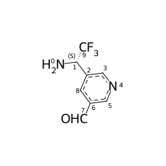 N[C@@H](c1cncc(C=O)c1)C(F)(F)F